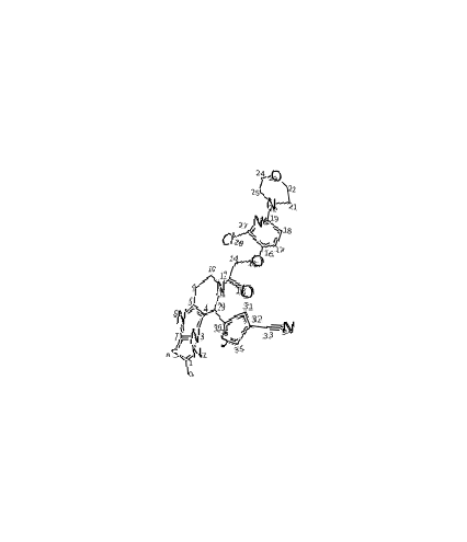 Cc1nn2c3c(nc2s1)CCN(C(=O)COc1ccc(N2CCOCC2)nc1Cl)C3c1cc(C#N)cs1